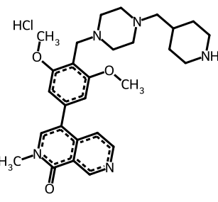 COc1cc(-c2cn(C)c(=O)c3cnccc23)cc(OC)c1CN1CCN(CC2CCNCC2)CC1.Cl